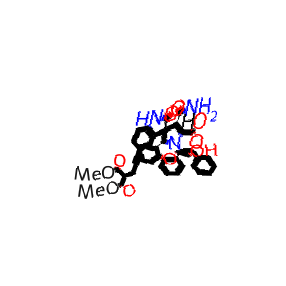 COC(=O)C(CC#Cc1ccc2c(c1)[C@]1(C(=O)N2)[C@H](C(N)=O)[C@H]2C(=O)OC(c3ccccc3)[C@H](c3ccccc3)N2[C@@H]1c1ccccc1OCCO)C(=O)OC